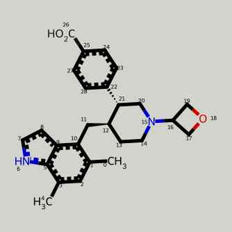 Cc1cc(C)c2[nH]ccc2c1C[C@@H]1CCN(C2COC2)C[C@H]1c1ccc(C(=O)O)cc1